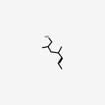 C/C=C/C(C)CC(C)CO